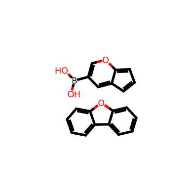 OB(O)c1coc2cccc-2c1.c1ccc2c(c1)oc1ccccc12